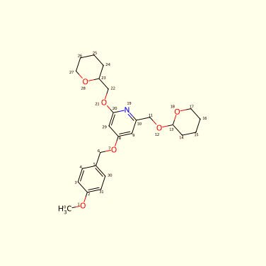 COc1ccc(COc2cc(COC3CCCCO3)nc(OCC3CCCCO3)c2)cc1